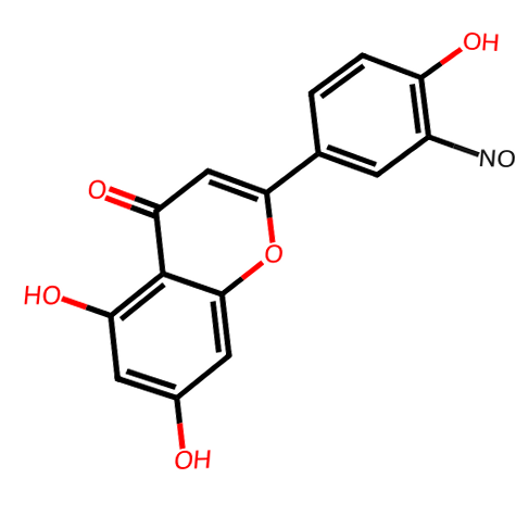 O=Nc1cc(-c2cc(=O)c3c(O)cc(O)cc3o2)ccc1O